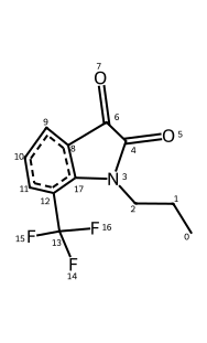 CCCN1C(=O)C(=O)c2cccc(C(F)(F)F)c21